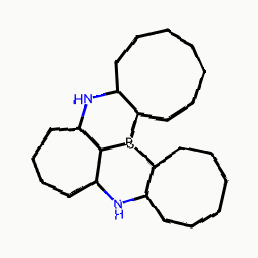 C1CCCC2NC3CCCCC4NC5CCCCCCC5B(C2CCC1)C34